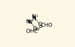 [N-]=[N+]=NCCCCCCOc1cc(-c2ccc(C=O)c(OCCCCCCN=[N+]=[N-])c2)ccc1C=O